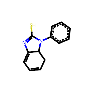 SC1=NC2=CC=CCC2N1c1ccccc1